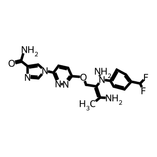 C/C(N)=C(\COc1ccc(-n2cnc(C(N)=O)c2)nn1)N(N)c1ccc(C(F)F)cc1